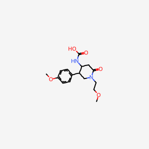 COCCN1CC(c2ccc(OC)cc2)C(NC(=O)O)CC1=O